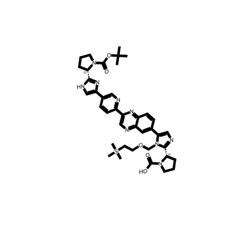 CC(C)(C)OC(=O)N1CCC[C@H]1c1nc(-c2ccc(-c3cnc4cc(-c5cnc([C@@H]6CCCN6C(=O)O)n5COCC[Si](C)(C)C)ccc4n3)nc2)c[nH]1